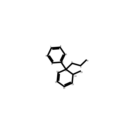 CCCC1(c2ccccc2)C=CC=CC1C